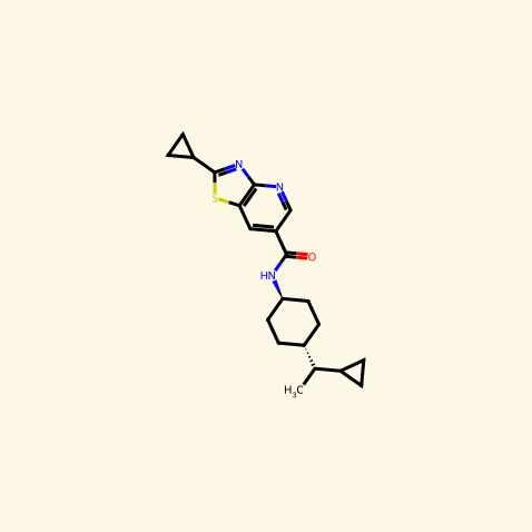 CC(C1CC1)[C@H]1CC[C@H](NC(=O)c2cnc3nc(C4CC4)sc3c2)CC1